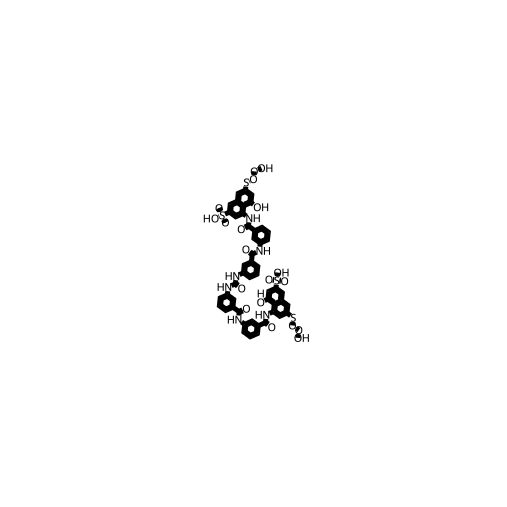 O=C(Nc1cccc(C(=O)Nc2cccc(C(=O)Nc3cc(SOOO)cc4cc(S(=O)(=O)O)cc(O)c34)c2)c1)Nc1cccc(C(=O)Nc2cccc(C(=O)Nc3cc(S(=O)(=O)O)cc4cc(SOOO)cc(O)c34)c2)c1